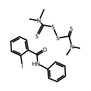 CN(C)C(=S)SSC(=S)N(C)C.O=C(Nc1ccccc1)c1ccccc1I